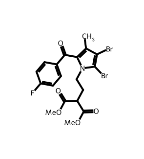 COC(=O)C(CCn1c(Br)c(Br)c(C)c1C(=O)c1ccc(F)cc1)C(=O)OC